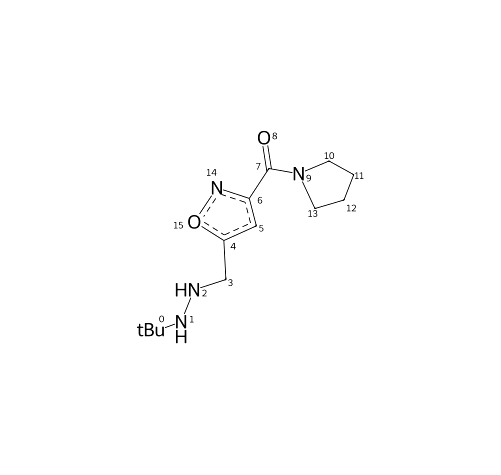 CC(C)(C)NNCc1cc(C(=O)N2CCCC2)no1